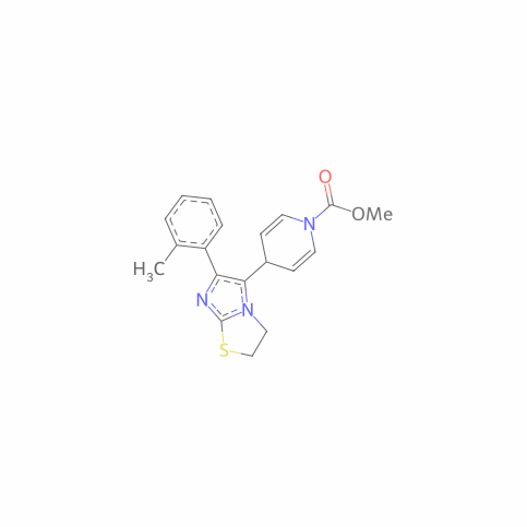 COC(=O)N1C=CC(c2c(-c3ccccc3C)nc3n2CCS3)C=C1